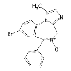 Cc1cnc2n1-c1ccc(Br)cc1C(c1ccccc1)=[N+]([O-])C2